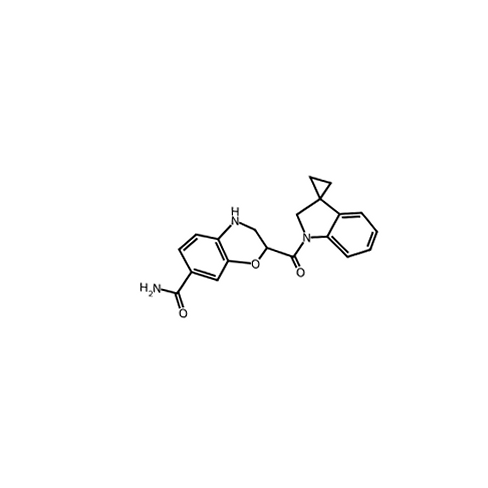 NC(=O)c1ccc2c(c1)OC(C(=O)N1CC3(CC3)c3ccccc31)CN2